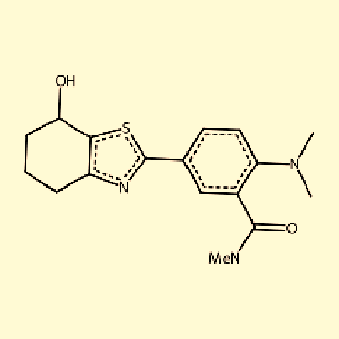 CNC(=O)c1cc(-c2nc3c(s2)C(O)CCC3)ccc1N(C)C